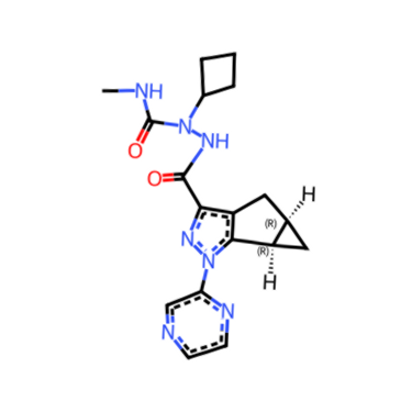 CNC(=O)N(NC(=O)c1nn(-c2cnccn2)c2c1C[C@H]1C[C@@H]21)C1CCC1